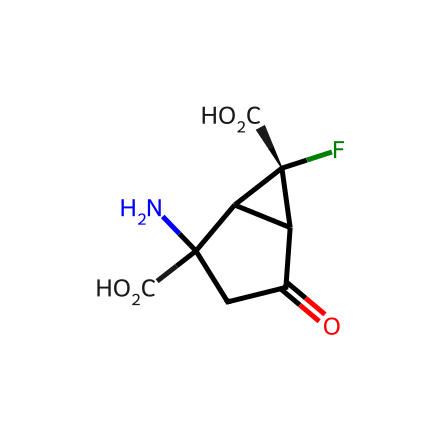 NC1(C(=O)O)CC(=O)C2C1[C@@]2(F)C(=O)O